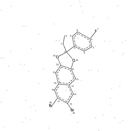 CCC1(c2ccc(F)cc2)Oc2cc3cc(Br)c(Br)cc3cc2O1